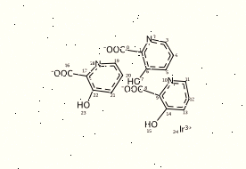 O=C([O-])c1ncccc1O.O=C([O-])c1ncccc1O.O=C([O-])c1ncccc1O.[Ir+3]